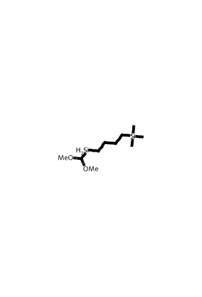 COC(OC)[SiH2]CCCC[Si](C)(C)C